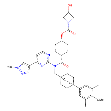 COc1c(C)cc(C23CCC(CN(c4nccc(-c5cnn(C(C)(C)C)c5)n4)C(=O)[C@H]4CC[C@H](OC(=O)N5CC(O)C5)CC4)(CC2)CC3)cc1C